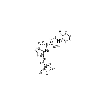 Cc1ccccc1N1CCN(c2ccc3ccn(CCN4CCC[C@H]4C)c3n2)CC1